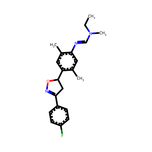 CCN(C)C=Nc1cc(C)c(C2CC(c3ccc(F)cc3)=NO2)cc1C